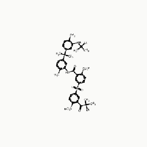 CCC(C)(C)Nc1cc(C(c2ccc(C)c(NC(=O)c3cc(S(=O)(=O)c4ccc(C(=O)O)c(C(=O)C(C)(C)CC)c4)ccc3C(=O)O)c2)(C(F)(F)F)C(F)(F)F)ccc1C